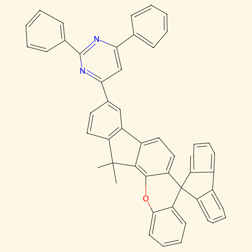 CC1(C)c2ccc(-c3cc(-c4ccccc4)nc(-c4ccccc4)n3)cc2-c2ccc3c(c21)Oc1ccccc1C31c2ccccc2-c2ccccc21